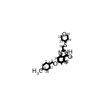 CN1CCC(COc2cc(F)c3c(=O)[nH]c(CSC4CCOCC4)nc3c2)CC1